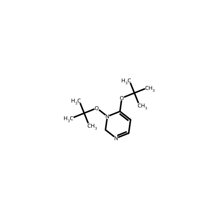 CC(C)(C)OC1=CC=NCN1OC(C)(C)C